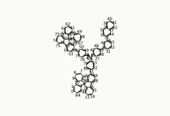 c1ccc(C2(c3ccccc3)c3ccccc3-c3ccc(-c4ccc(N(c5ccc(-c6cccc(-c7ccc8ccccc8c7)c6)cc5)c5ccc(-c6ccc7c(c6)C(c6ccccc6)(c6ccccc6)c6ccccc6-7)cc5)cc4)cc32)cc1